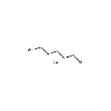 CCCCCCCCO.[La]